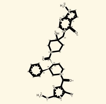 COc1nc(Br)c(C(=O)N2CC[C@@H](C(=O)N3CCC(O)(Cn4cnc5c(ccn5C)c4=O)CC3)[C@H](c3ccccc3)C2)s1